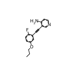 CCCOc1ccc(F)c(C#Cc2cnccc2N)c1